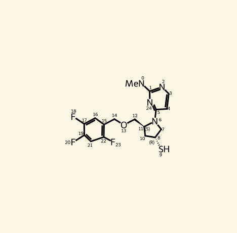 CNc1nccc(N2C[C@H](S)C[C@H]2COCc2cc(F)c(F)cc2F)n1